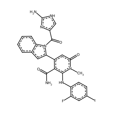 Cn1c(Nc2ccc(I)cc2F)c(C(N)=O)c(-c2cc3ccccc3n2C(=O)c2c[nH]c(N)n2)cc1=O